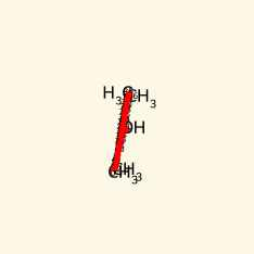 CC(C)CCCCCCCCCCCCCCCC(CO)CCCCCCCCCCCCCC(C)C